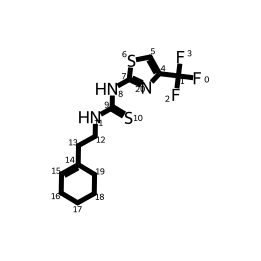 FC(F)(F)c1csc(NC(=S)NCCC2=CCCCC2)n1